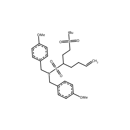 C=CCCC(CCS(=O)(=O)C(C)(C)C)S(=O)(=O)N(Cc1ccc(OC)cc1)Cc1ccc(OC)cc1